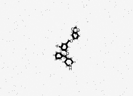 Fc1cc(COc2ccc3c(c2)OCO3)cc(OC(c2ccccc2)C2CCNCC2)c1